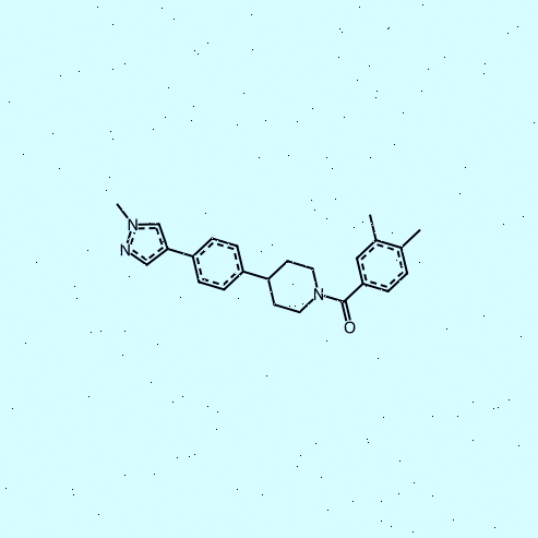 Cc1ccc(C(=O)N2CCC(c3ccc(-c4cnn(C)c4)cc3)CC2)cc1C